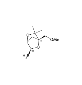 B[C@@H]1O[C@]2(COC)CC1OC2(C)C